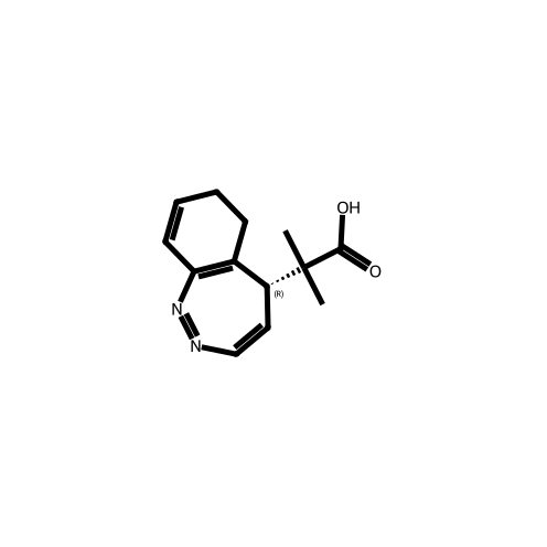 CC(C)(C(=O)O)[C@@H]1C=CN=NC2=C1CCC=C2